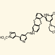 O=C(O)n1cc(-c2cncc(CNc3ccc4c(c3)Sc3cccc(-c5cc(N6CCOCC6)cc(=O)[nH]5)c3S4)c2)cn1